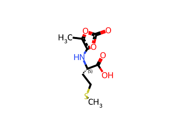 CSCC[C@H](Nc1oc(=O)oc1C)C(=O)O